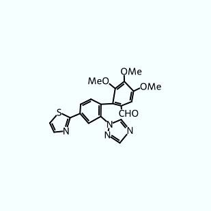 COc1cc(C=O)c(-c2ccc(-c3nccs3)cc2-n2cncn2)c(OC)c1OC